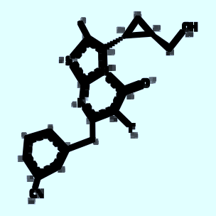 Cc1sc2nc(Cc3cccc(C#N)c3)c(F)c(=O)n2c1[C@@H]1C[C@H]1CO